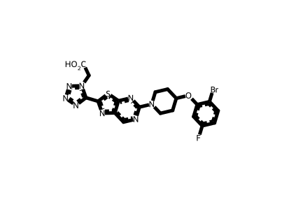 O=C(O)Cn1nnnc1-c1nc2cnc(N3CCC(Oc4cc(F)ccc4Br)CC3)nc2s1